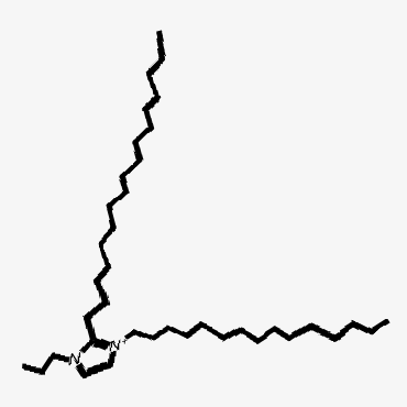 CCCCCCCCCCCCCCCCCc1n(CCC)cc[n+]1CCCCCCCCCCCCCCC